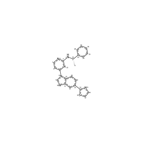 C[C@H](Nc1nccc(-n2cnc3cc(-c4nccs4)ccc32)n1)c1ccccc1